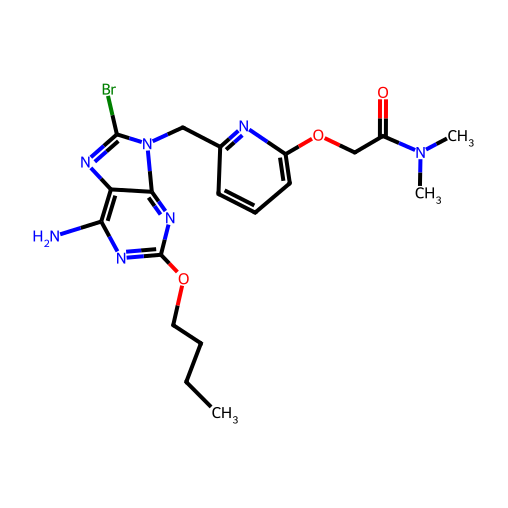 CCCCOc1nc(N)c2nc(Br)n(Cc3cccc(OCC(=O)N(C)C)n3)c2n1